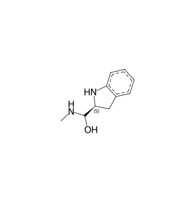 CNC(O)[C@@H]1Cc2ccccc2N1